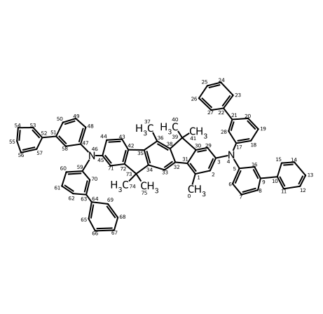 Cc1cc(N(c2cccc(-c3ccccc3)c2)c2cccc(-c3ccccc3)c2)cc2c1-c1cc3c(c(C)c1C2(C)C)-c1ccc(N(c2cccc(-c4ccccc4)c2)c2cccc(-c4ccccc4)c2)cc1C3(C)C